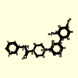 O=C(Nc1cccnc1)N1CCN(c2cncc(-c3ccc(F)cc3F)n2)CC1